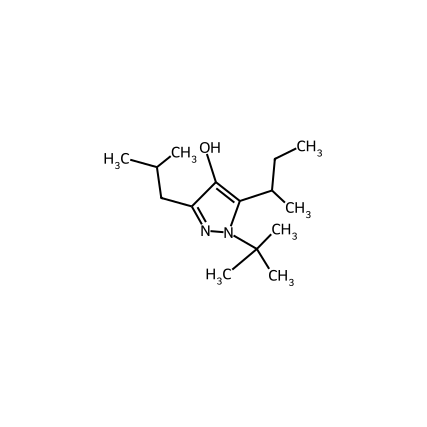 CCC(C)c1c(O)c(CC(C)C)nn1C(C)(C)C